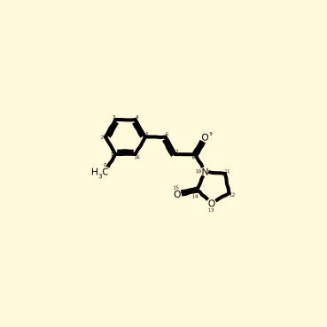 Cc1cccc(C=CC(=O)N2CCOC2=O)c1